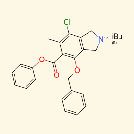 CC[C@@H](C)N1Cc2c(Cl)c(C)c(C(=O)Oc3ccccc3)c(OCc3ccccc3)c2C1